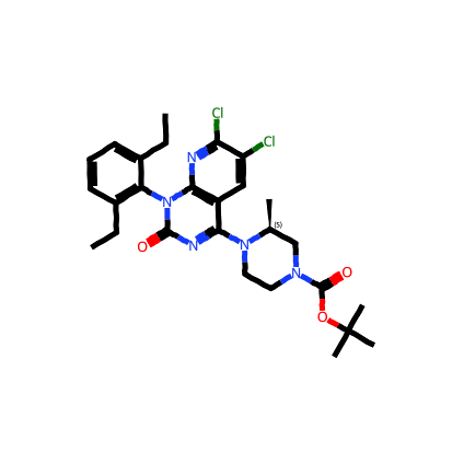 CCc1cccc(CC)c1-n1c(=O)nc(N2CCN(C(=O)OC(C)(C)C)C[C@@H]2C)c2cc(Cl)c(Cl)nc21